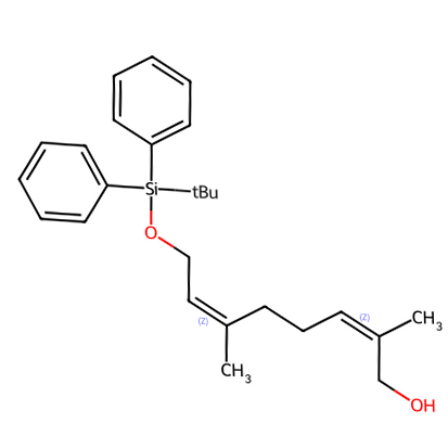 C/C(=C/CC/C(C)=C\CO[Si](c1ccccc1)(c1ccccc1)C(C)(C)C)CO